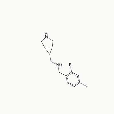 Fc1ccc(CNCC2C3CNCC23)c(F)c1